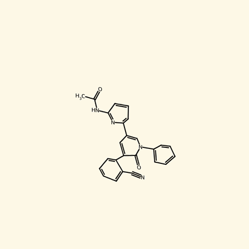 CC(=O)Nc1cccc(-c2cc(-c3ccccc3C#N)c(=O)n(-c3ccccc3)c2)n1